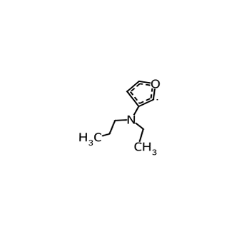 CCCN(CC)c1[c]occ1